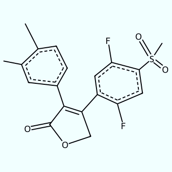 Cc1ccc(C2=C(c3cc(F)c(S(C)(=O)=O)cc3F)COC2=O)cc1C